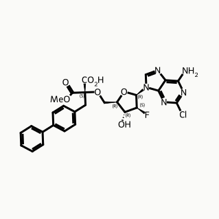 COC(=O)[C@@](Cc1ccc(-c2ccccc2)cc1)(OC[C@H]1O[C@@H](n2cnc3c(N)nc(Cl)nc32)[C@@H](F)[C@@H]1O)C(=O)O